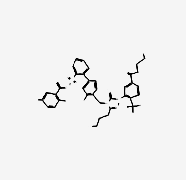 CCCCC(=O)c1ccc(C(F)(F)F)c(-n2nc(CCCC)n(Cc3ccc(-c4ccccc4S(=O)(=O)NC(=O)c4cc(F)ccc4F)cc3F)c2=O)c1